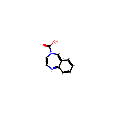 O=C(O)N1C=CN=c2ccccc2=C1